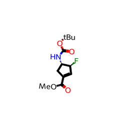 COC(=O)C1=C[C@H](F)[C@@H](NC(=O)OC(C)(C)C)C1